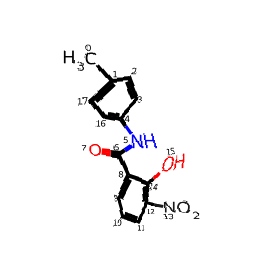 Cc1ccc(NC(=O)c2cccc([N+](=O)[O-])c2O)cc1